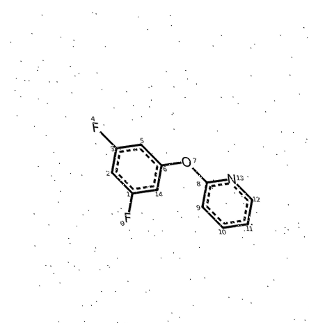 Fc1cc(F)cc(Oc2cc[c]cn2)c1